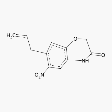 C=CCc1cc2c(cc1[N+](=O)[O-])NC(=O)CO2